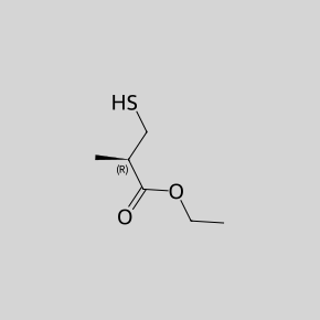 CCOC(=O)[C@@H](C)CS